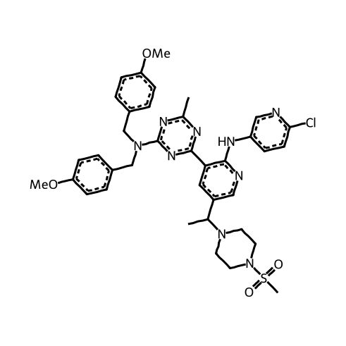 COc1ccc(CN(Cc2ccc(OC)cc2)c2nc(C)nc(-c3cc(C(C)N4CCN(S(C)(=O)=O)CC4)cnc3Nc3ccc(Cl)nc3)n2)cc1